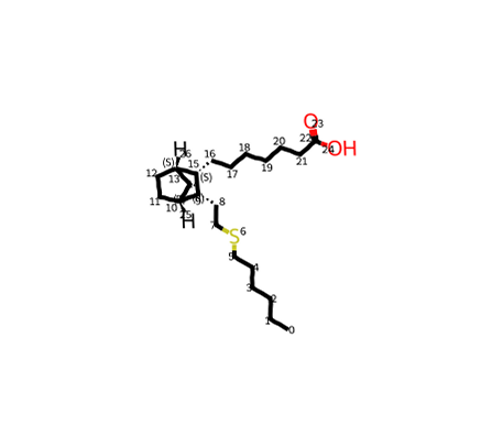 CCCCCCSCC[C@@H]1[C@@H]2CC[C@@H](C2)[C@@H]1CCCCCCC(=O)O